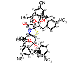 C[SiH](OC(O[SiH](C)C(C)(C)C)(c1ccc(C#N)cc1)[C@@H](Cc1ccc([N+](=O)[O-])cc1)C12CC(=O)N1C(C(=O)O)=C([C@H](Cc1ccc([N+](=O)[O-])cc1)C(O[SiH](C)C(C)(C)C)(O[SiH](C)C(C)(C)C)c1ccc(C#N)cc1)S2)C(C)(C)C